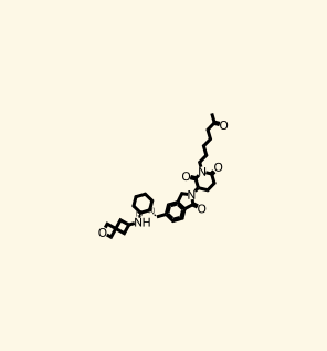 CC(=O)CCCCCN1C(=O)CCC(N2Cc3cc(C[C@H]4CCCC[C@@H]4NC4CC5(COC5)C4)ccc3C2=O)C1=O